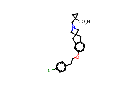 O=C(O)C1(CN2CC3(Cc4ccc(OCCc5ccc(Cl)cc5)cc4C3)C2)CC1